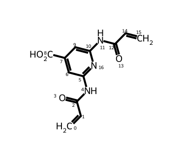 C=CC(=O)Nc1cc(C(=O)O)cc(NC(=O)C=C)n1